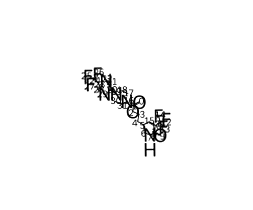 O=C(OCCc1c[nH]c(=O)c(C(F)(F)F)c1)N1CCN(c2cnc(C(F)(F)F)cn2)CC1